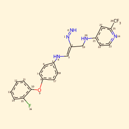 N=N/C(=C\Nc1ccc(Oc2ccccc2F)cc1)CNc1ccnc(C(F)(F)F)c1